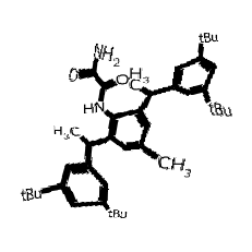 Cc1cc(C(C)c2cc(C(C)(C)C)cc(C(C)(C)C)c2)c(NC(=O)C(N)=O)c(C(C)c2cc(C(C)(C)C)cc(C(C)(C)C)c2)c1